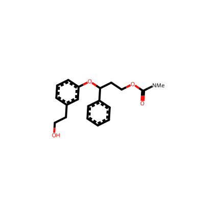 CNC(=O)OCCC(Oc1cccc(CCO)c1)c1ccccc1